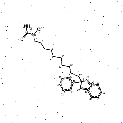 NC(=O)N(O)CCCCCCCCCCC1(c2cccnc2)C=c2ccccc2=N1